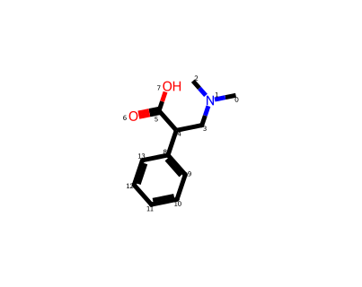 CN(C)CC(C(=O)O)c1ccccc1